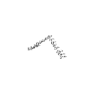 [Ga+3].[Ga+3].[O-2].[O-2].[O-2].[O-2].[O-2].[O-2].[O-2].[O-2].[O-2].[Sn+4].[Sn+4].[Zn+2].[Zn+2]